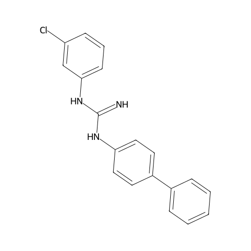 N=C(Nc1ccc(-c2ccccc2)cc1)Nc1cccc(Cl)c1